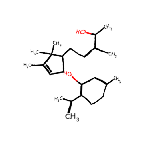 CC1=CCC(CCC(C)C(C)O)C1(C)C.CC1CCC(C(C)C)C(O)C1